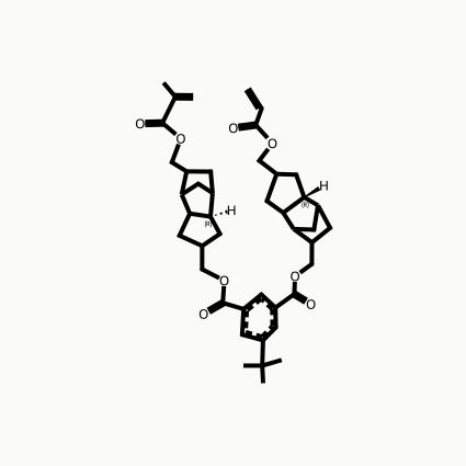 C=CC(=O)OCC1CC2C3CC(CC3COC(=O)c3cc(C(=O)OCC4CC5C6CC(CC6COC(=O)C(=C)C)[C@H]5C4)cc(C(C)(C)C)c3)[C@H]2C1